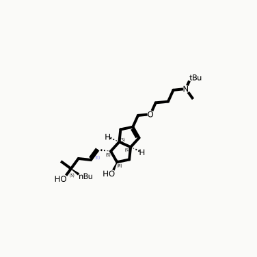 CCCC[C@](C)(O)C/C=C/[C@@H]1[C@H]2CC(COCCCN(C)C(C)(C)C)=C[C@H]2C[C@H]1O